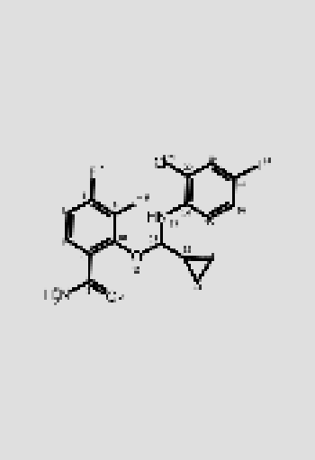 NC(=O)c1ccc(F)c(F)c1OC(Nc1ccc(I)cc1Cl)C1CC1